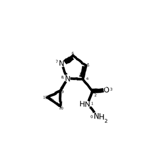 NNC(=O)c1ccnn1C1CC1